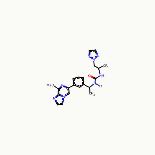 CCN(C(=O)NC(Cn1nccn1)C(F)(F)F)C(C)c1cccc(-c2cn3ccnc3c(OC)n2)c1